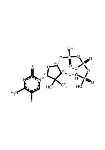 Nc1nc(=S)n([C@@H]2O[C@H](OP(=O)(O)OP(=O)(O)OP(=O)(O)O)[C@H](O)C2(O)C(F)(F)F)cc1F